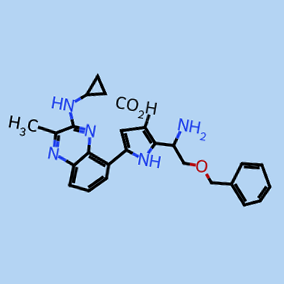 Cc1nc2cccc(-c3cc(C(=O)O)c(C(N)COCc4ccccc4)[nH]3)c2nc1NC1CC1